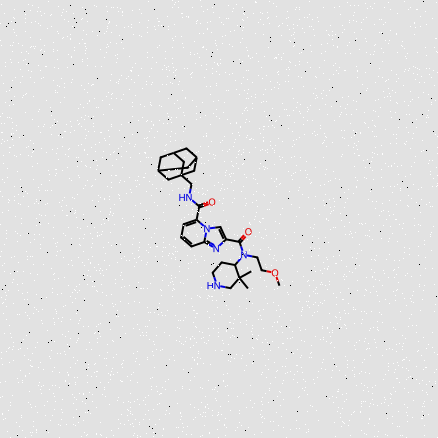 COCCN(C(=O)c1cn2c(C(=O)NCC34CC5CC(CC(C5)C3)C4)cccc2n1)C1CCNCC1(C)C